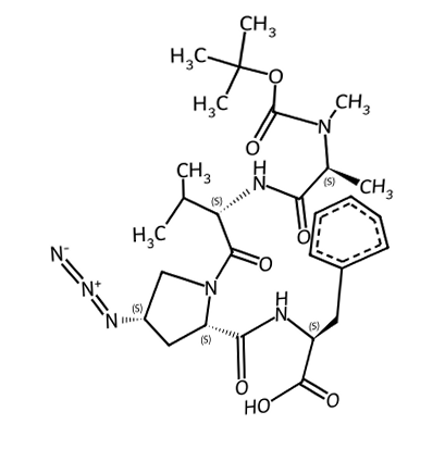 CC(C)[C@H](NC(=O)[C@H](C)N(C)C(=O)OC(C)(C)C)C(=O)N1C[C@@H](N=[N+]=[N-])C[C@H]1C(=O)N[C@@H](Cc1ccccc1)C(=O)O